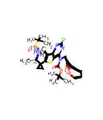 Cc1c(C2([C@H](C)N[S@+]([O-])C(C)(C)C)CC2)sc2c(N(Cc3ccco3)C(=O)OC(C)(C)C)nc(Cl)nc12